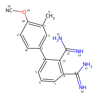 Cc1cc(-c2cccc(C(=N)N)c2C(=N)N)ccc1OC#N